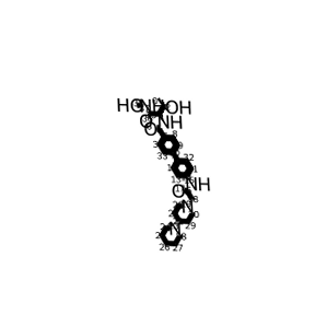 C[C@@H](O)[C@H](NC(=O)c1ccc(-c2ccc(NC(=O)CN3CCC(N4CCCCC4)CC3)cc2)cc1)C(=O)NO